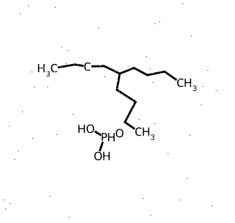 CCCCC(CCCC)CCCC.O=[PH](O)O